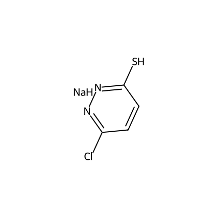 Sc1ccc(Cl)nn1.[NaH]